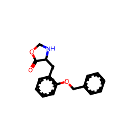 O=C1OCNC1Cc1ccccc1OCc1ccccc1